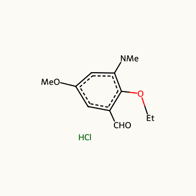 CCOc1c(C=O)cc(OC)cc1NC.Cl